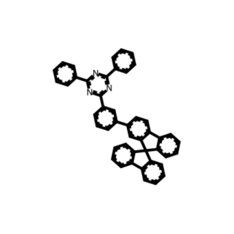 c1ccc(-c2nc(-c3ccccc3)nc(-c3cccc(-c4ccc5c(c4)C4(c6ccccc6-c6ccccc64)c4ccccc4-5)c3)n2)cc1